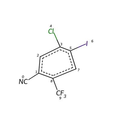 N#Cc1cc(Cl)c(I)cc1C(F)(F)F